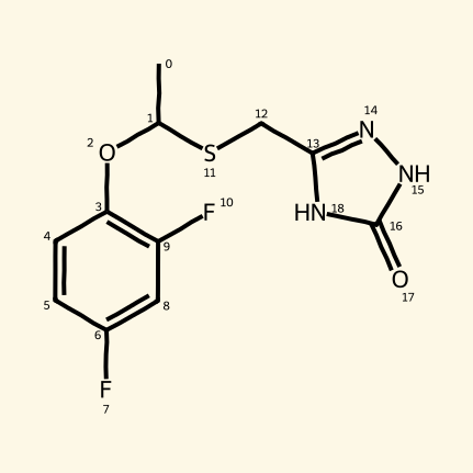 CC(Oc1ccc(F)cc1F)SCc1n[nH]c(=O)[nH]1